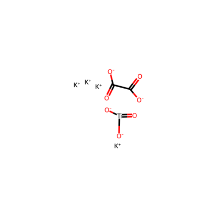 O=C([O-])C(=O)[O-].[K+].[K+].[K+].[K+].[O]=[Ti]([O-])[O-]